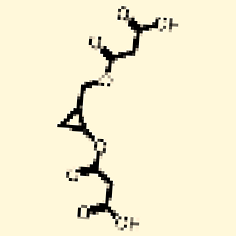 O=C(O)CC(=O)OCC1CC1OC(=O)CC(=O)O